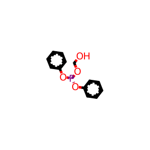 OCOP(Oc1ccccc1)Oc1ccccc1